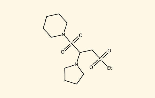 CCS(=O)(=O)CC(N1CCCC1)S(=O)(=O)N1CCCCC1